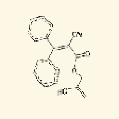 C=C(O)COC(=O)C(C#N)=C(c1ccccc1)c1ccccc1